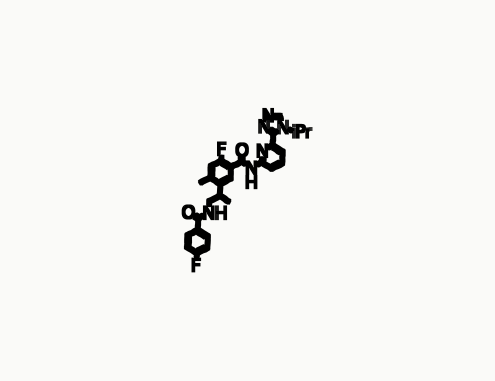 Cc1cc(F)c(C(=O)Nc2cccc(-c3nncn3C(C)C)n2)cc1C(C)CNC(=O)c1ccc(F)cc1